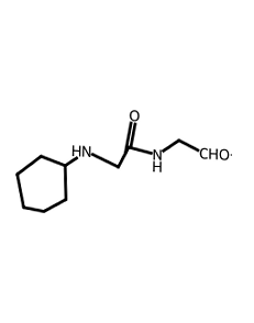 O=[C]CNC(=O)CNC1CCCCC1